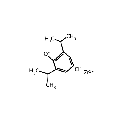 CC(C)c1cccc(C(C)C)c1[O-].[Cl-].[Zr+2]